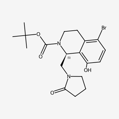 CC(C)(C)OC(=O)N1CCc2c(Br)ccc(O)c2[C@H]1CN1CCCC1=O